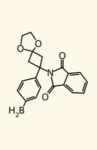 Bc1ccc(C2(N3C(=O)c4ccccc4C3=O)CC3(C2)OCCO3)cc1